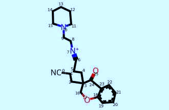 N#CCCC1(CCC#[N+]CCN2CCCCC2)COc2ccccc2C1=O